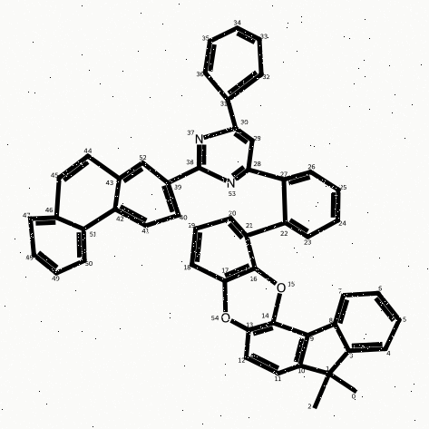 CC1(C)c2ccccc2-c2c1ccc1c2Oc2c(cccc2-c2ccccc2-c2cc(-c3ccccc3)nc(-c3ccc4c(ccc5ccccc54)c3)n2)O1